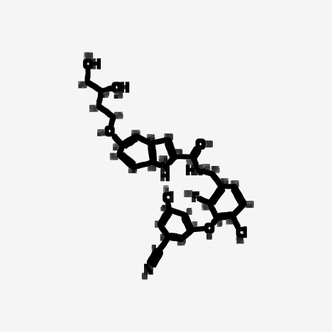 N#Cc1cc(Cl)cc(Oc2c(Cl)ccc(CNC(=O)c3cc4cc(OCC[C@H](O)CO)ccc4[nH]3)c2F)c1